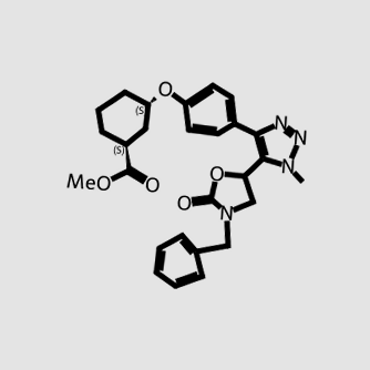 COC(=O)[C@H]1CCC[C@H](Oc2ccc(-c3nnn(C)c3C3CN(Cc4ccccc4)C(=O)O3)cc2)C1